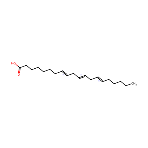 CCCCC/C=C/C/C=C/C/C=C/CCCCCCC(=O)O